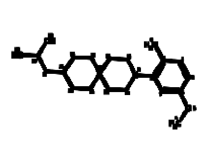 Nc1ccc(OC(F)(F)F)cc1N1CCC2(CCC(CC(O)O)CC2)CC1